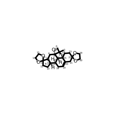 CC(C)(C)[C@]1(O)C[C@@]2(C)[C@@H](CCC23OCCO3)[C@@H]2CC=C3CC4(CC[C@]3(C)[C@H]21)OCCO4